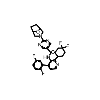 O=C(Nc1c(-c2cc(F)ccc2F)ccnc1C1CCC(F)(F)CC1)c1cnc(N2CC3CCC(C2)O3)nc1